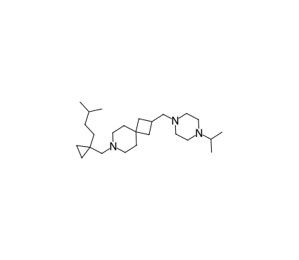 CC(C)CCC1(CN2CCC3(CC2)CC(CN2CCN(C(C)C)CC2)C3)CC1